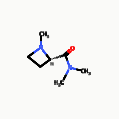 CN(C)C(=O)[C@@H]1CCN1C